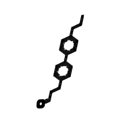 CCCc1ccc(-c2ccc(CCC=O)cc2)cc1